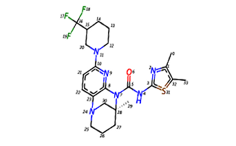 Cc1nc(NC(=O)N2c3nc(N4CCCC(C(F)(F)F)C4)ccc3N3CCC[C@@]2(C)C3)sc1C